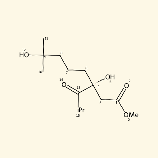 COC(=O)C[C@](O)(CCCC(C)(C)O)C(=O)C(C)C